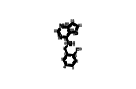 Fc1ccccc1CNc1ncnc2ccsc12